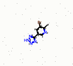 Cc1ncc(-c2nn[nH]n2)cc1Br